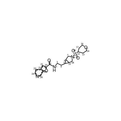 O=C(NCCC1C2CN(S(=O)(=O)C3CCOCC3)CC12)c1cc2ccncc2o1